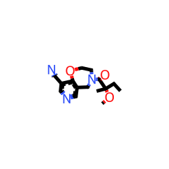 CCC(C)(OC)C(=O)N1CCOc2c(C#N)cncc2C1